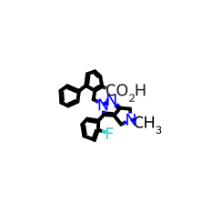 CN1Cc2nn(Cc3c(C(=O)O)cccc3-c3ccccc3)c(-c3ccccc3F)c2C1